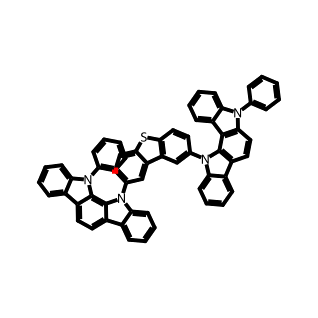 c1ccc(-n2c3ccccc3c3c2ccc2c4ccccc4n(-c4ccc5sc6ccc(-n7c8ccccc8c8ccc9c%10ccccc%10n(-c%10ccccc%10)c9c87)cc6c5c4)c23)cc1